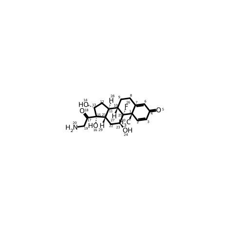 C[C@]12C=CC(=O)C=C1CC[C@H]1[C@@H]3C[C@@H](O)[C@](O)(C(=O)CN)[C@H]3C[C@H](O)[C@@]12F